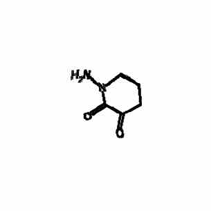 NN1CCCC(=O)C1=O